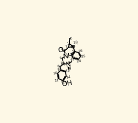 CC1C(C(=O)NC[C@H](Cc2ccc(O)cc2)N(C)C)[C@]1(C)c1ccccc1